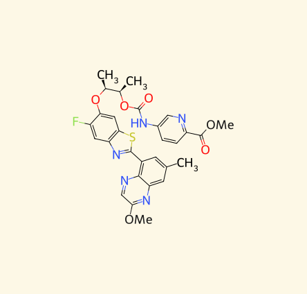 COC(=O)c1ccc(NC(=O)O[C@H](C)[C@H](C)Oc2cc3sc(-c4cc(C)cc5nc(OC)cnc45)nc3cc2F)cn1